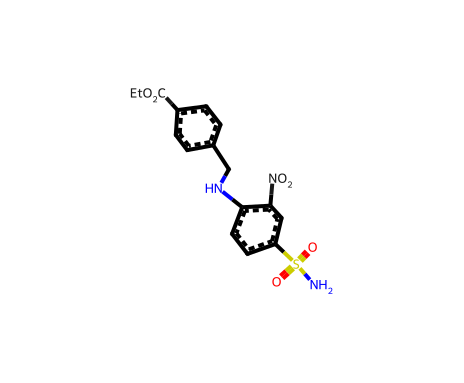 CCOC(=O)c1ccc(CNc2ccc(S(N)(=O)=O)cc2[N+](=O)[O-])cc1